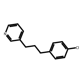 Clc1ccc([CH]CCc2cccnc2)cc1